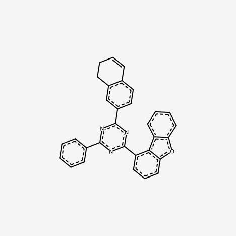 C1=Cc2ccc(-c3nc(-c4ccccc4)nc(-c4cccc5oc6ccccc6c45)n3)cc2CC1